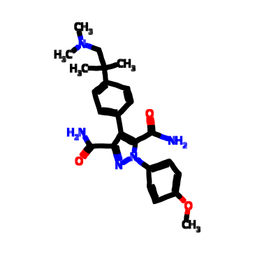 COc1ccc(-n2nc(C(N)=O)c(-c3ccc(C(C)(C)CN(C)C)cc3)c2C(N)=O)cc1